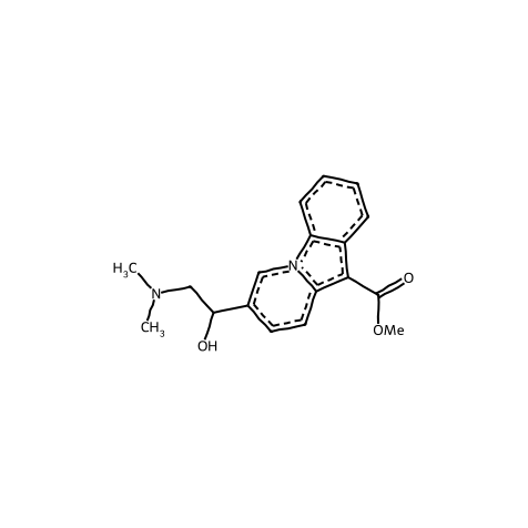 COC(=O)c1c2ccccc2n2cc(C(O)CN(C)C)ccc12